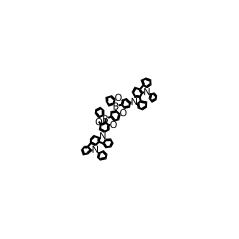 c1ccc(-n2c3ccccc3c3ccc4c(c5ccccc5n4-c4cc5c6c(c4)Oc4cc7c(cc4B6c4ccccc4O5)B4c5ccccc5Oc5cc(-n6c8ccccc8c8c6ccc6c9ccccc9n(-c9ccccc9)c68)cc(c54)O7)c32)cc1